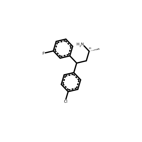 C[C@@H](N)CC(c1ccc(Cl)cc1)c1cccc(F)c1